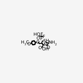 COc1ccc(OCC2=C(C(=O)O)N3C(=O)C(N)[C@H]3SC2)cc1.O=C(O)C(F)(F)F